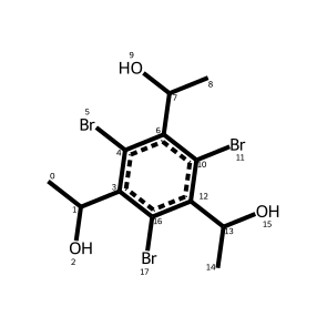 CC(O)c1c(Br)c(C(C)O)c(Br)c(C(C)O)c1Br